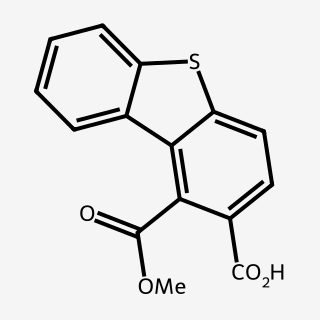 COC(=O)c1c(C(=O)O)ccc2sc3ccccc3c12